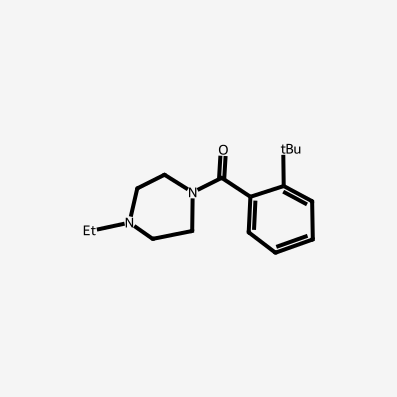 CCN1CCN(C(=O)c2ccccc2C(C)(C)C)CC1